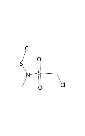 CN(SCl)S(=O)(=O)CCl